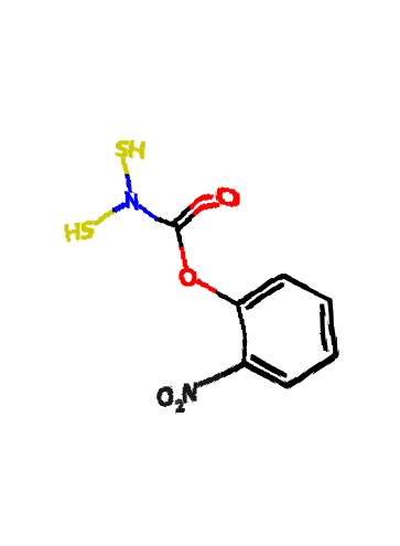 O=C(Oc1ccccc1[N+](=O)[O-])N(S)S